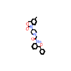 Cc1ccc2c(c1)COC(=O)N2C1CCN(CC(=O)Nc2ccccc2C(=O)c2ccccc2)CC1